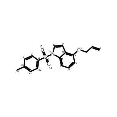 C=CCOc1cccc2c1ccn2S(=O)(=O)c1ccc(C)cc1